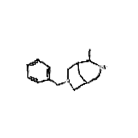 CC1NCC2CC1CN(Cc1ccccc1)C2